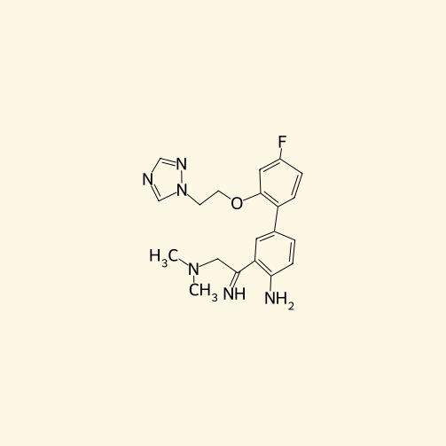 CN(C)CC(=N)c1cc(-c2ccc(F)cc2OCCn2cncn2)ccc1N